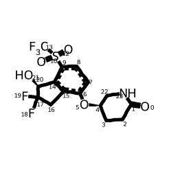 O=C1CC[C@@H](Oc2ccc(S(=O)(=O)C(F)(F)F)c3c2CC(F)(F)[C@H]3O)CN1